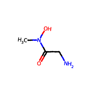 CN(O)C(=O)CN